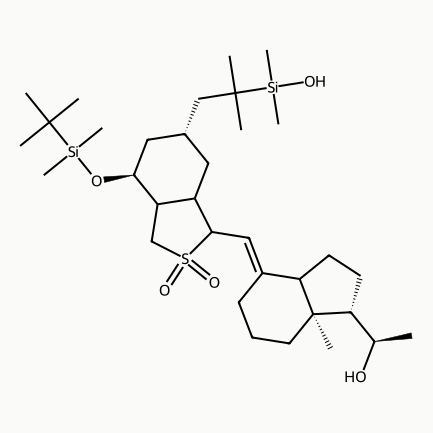 C[C@@H](O)[C@H]1CCC2/C(=C/C3C4C[C@@H](CC(C)(C)[Si](C)(C)O)C[C@H](O[Si](C)(C)C(C)(C)C)C4CS3(=O)=O)CCC[C@@]21C